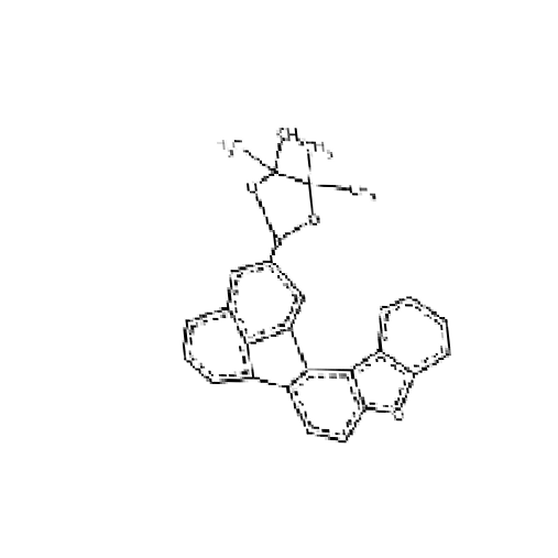 CC1(C)OB(c2cc3c4c(cccc4c2)-c2ccc4oc5ccccc5c4c2-3)OC1(C)C